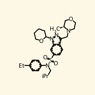 CCc1ccc(N(CC(C)C)S(=O)(=O)c2ccc3c(CN4CCOC[C@@H]4C)nn(C4CCCCO4)c3c2)cc1